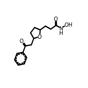 O=C(CCC1CCC(CC(=O)c2ccccc2)O1)NO